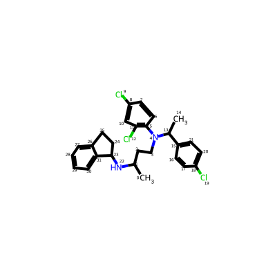 CC(CCN(c1ccc(Cl)cc1Cl)C(C)c1ccc(Cl)cc1)NC1CCc2ccccc21